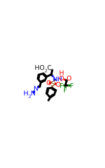 Cc1ccc(S(=O)(=O)NC(CC(=O)O)c2cccc(C=NN)c2)cc1.O=C(O)C(F)(F)F